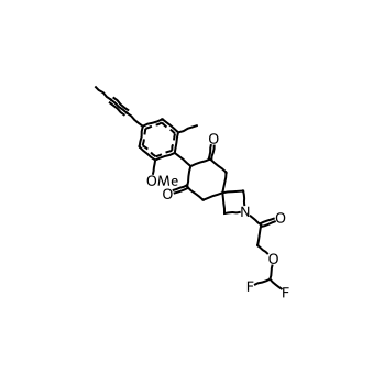 CC#Cc1cc(C)c(C2C(=O)CC3(CC2=O)CN(C(=O)COC(F)F)C3)c(OC)c1